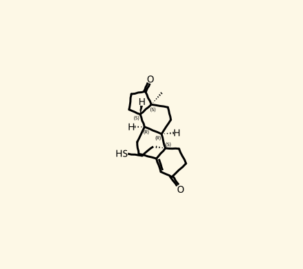 C[C@]12CC[C@@H]3[C@@H](CCC4=CC(=O)CC[C@@]43CCS)[C@@H]1CCC2=O